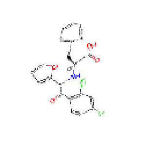 O=C(c1ccc(Cl)cc1Cl)C(N[C@@H](Cc1ccccc1)C(=O)O)c1ccco1